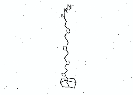 [N-]=[N+]=NCCOCCOCCOCCOC12CC3CC(CC(C3)C1)C2